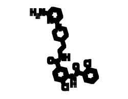 Nc1cccc(N2CCC(CCNC(=O)c3ccc(Cl)c(NC(=O)c4ccccc4Cl)c3)CC2)n1